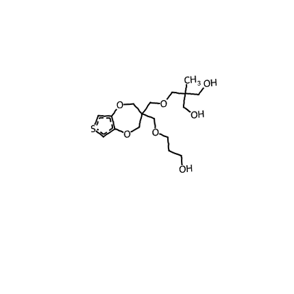 CC(CO)(CO)COCC1(COCCCO)COc2cscc2OC1